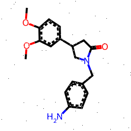 COc1ccc(C2CC(=O)N(Cc3ccc(N)cc3)C2)cc1OC